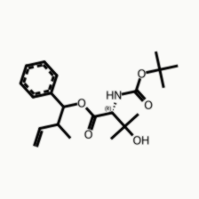 C=CC(C)C(OC(=O)[C@H](NC(=O)OC(C)(C)C)C(C)(C)O)c1ccccc1